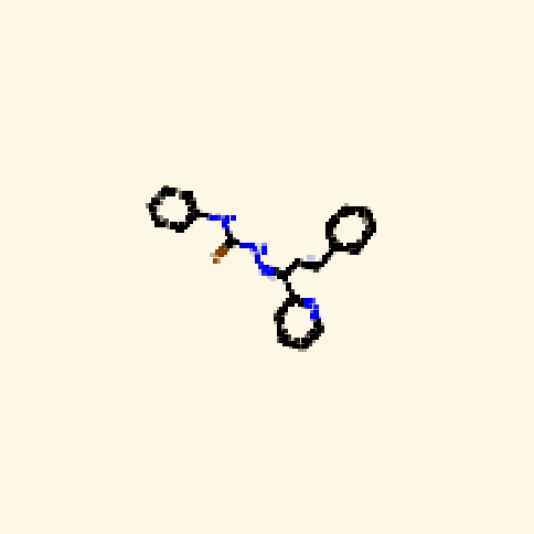 S=C(N/N=C(\C=C\c1ccccc1)c1ccccn1)Nc1ccccc1